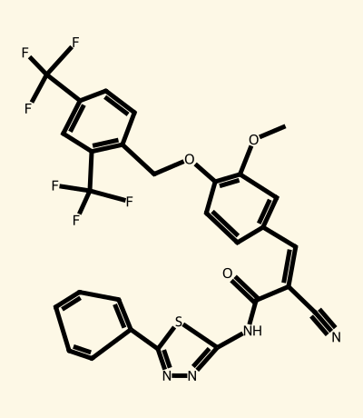 COc1cc(C=C(C#N)C(=O)Nc2nnc(-c3ccccc3)s2)ccc1OCc1ccc(C(F)(F)F)cc1C(F)(F)F